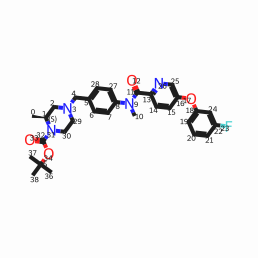 C[C@H]1CN(Cc2ccc(N(C)C(=O)c3ccc(Oc4cccc(F)c4)cn3)cc2)CCN1C(=O)OC(C)(C)C